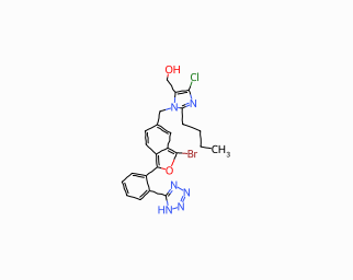 CCCCc1nc(Cl)c(CO)n1Cc1ccc2c(-c3ccccc3-c3nnn[nH]3)oc(Br)c2c1